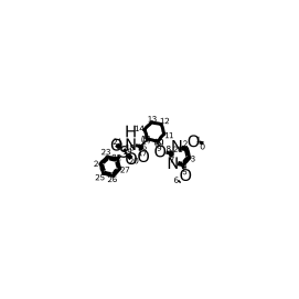 COc1cc(OC)nc(O[C@H]2CCCC[C@@H]2C(=O)NS(=O)(=O)c2ccccc2)n1